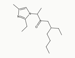 CCCCC(CC)CC(=O)C(C)n1cc(C)nc1CC